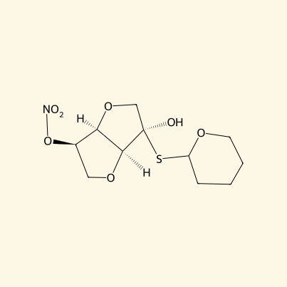 O=[N+]([O-])O[C@@H]1CO[C@H]2[C@@H]1OC[C@@]2(O)SC1CCCCO1